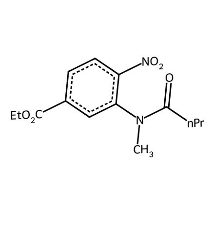 CCCC(=O)N(C)c1cc(C(=O)OCC)ccc1[N+](=O)[O-]